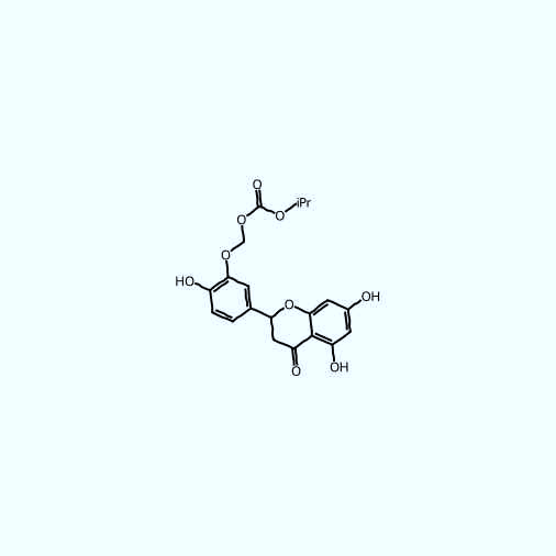 CC(C)OC(=O)OCOc1cc(C2CC(=O)c3c(O)cc(O)cc3O2)ccc1O